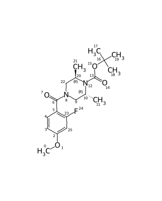 COc1ccc(C(=O)N2C[C@@H](C)N(C(=O)OC(C)(C)C)[C@H](C)C2)c(F)c1